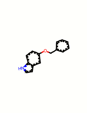 [c]1cc2cc(OCc3ccccc3)ccc2[nH]1